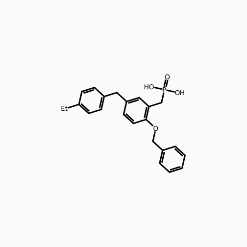 CCc1ccc(Cc2ccc(OCc3ccccc3)c(CP(=O)(O)O)c2)cc1